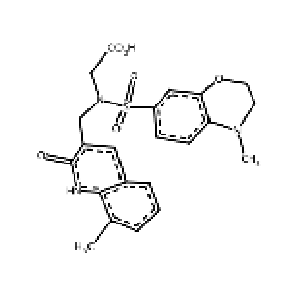 Cc1cccc2cc(CN(CC(=O)O)S(=O)(=O)c3ccc4c(c3)OCCN4C)c(=O)[nH]c12